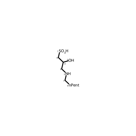 CCCCCCNCC(O)CS(=O)(=O)O